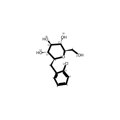 OC[C@H]1O[C@@H](Cc2ccccc2Cl)[C@H](O)[C@@H](O)[C@@H]1O